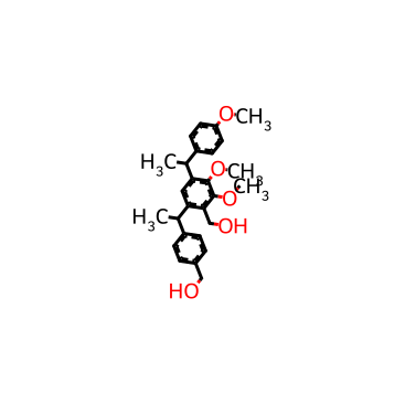 COc1ccc(C(C)c2cc(C(C)c3ccc(CO)cc3)c(CO)c(OC)c2OC)cc1